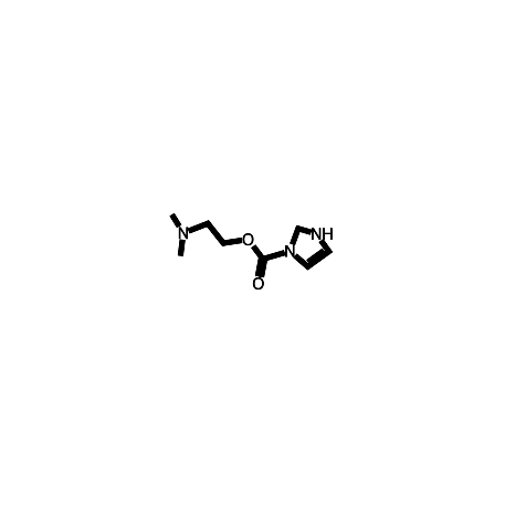 CN(C)CCOC(=O)N1C=CNC1